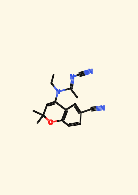 CCN(C1=CC(C)(C)Oc2ccc(C#N)cc21)/C(C)=N/C#N